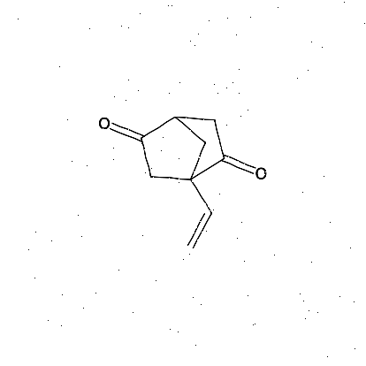 C=CC12CC(=O)C(CC1=O)C2